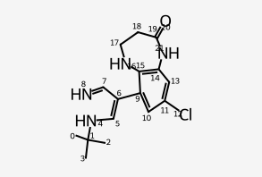 CC(C)(C)N/C=C(\C=N)c1cc(Cl)cc2c1NCCC(=O)N2